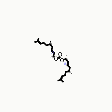 CC(C)=CCC[C@@H](C)C/C=C/[C@@H](C)OC(=O)O[C@H](C)/C=C/C[C@H](C)CCC=C(C)C